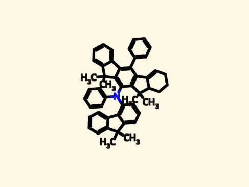 CC1(C)c2ccccc2-c2c(N(c3ccccc3)c3c4c(c(-c5ccccc5)c5c3C(C)(C)C3CCCC=C53)-c3ccccc3C4(C)C)cccc21